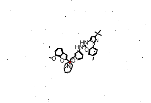 COc1cccc2cc(C(=O)N3C4CCC3CC(Cc3cccc(NC(=O)Nc5cc(C(C)(C)C)nn5-c5ccc(C)cc5)c3)C4)oc12